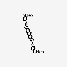 CCCCCCc1ccc(/C=C/c2cc3cc4cc5cc6sc(/C=C/c7ccc(CCCCCC)cc7)cc6cc5cc4cc3s2)cc1